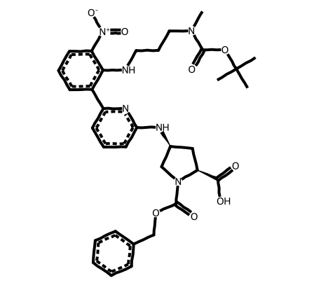 CN(CCCNc1c(-c2cccc(N[C@H]3C[C@@H](C(=O)O)N(C(=O)OCc4ccccc4)C3)n2)cccc1[N+](=O)[O-])C(=O)OC(C)(C)C